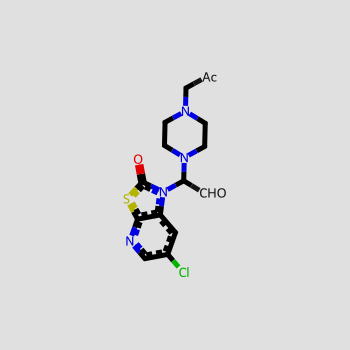 CC(=O)CN1CCN(C(C=O)n2c(=O)sc3ncc(Cl)cc32)CC1